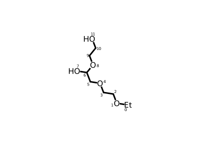 CCOCCOCC(O)OCCO